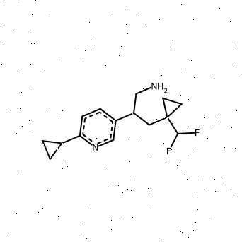 NCC(CC1(C(F)F)CC1)c1ccc(C2CC2)nc1